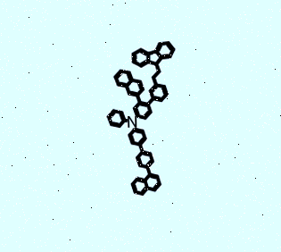 c1ccc(N(c2ccc(-c3ccc(-c4cccc5ccccc45)cc3)cc2)c2ccc(-c3cccc(CCC4c5ccccc5-c5ccccc54)c3)c(-c3ccc4ccccc4c3)c2)cc1